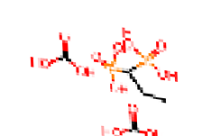 CCC(P(=O)(O)O)P(=O)(O)O.O=C(O)O.O=C(O)O